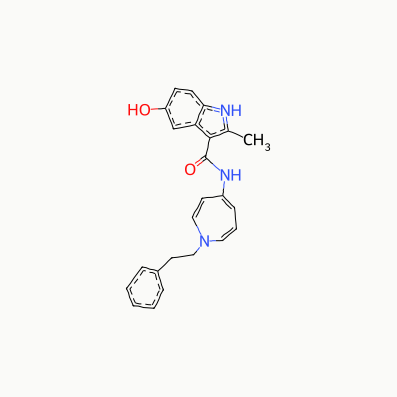 Cc1[nH]c2ccc(O)cc2c1C(=O)NC1=CC=CN(CCc2ccccc2)C=C1